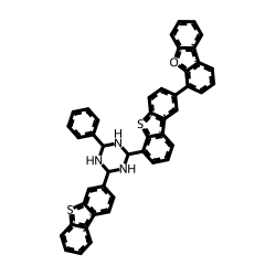 c1ccc(C2NC(c3ccc4c(c3)sc3ccccc34)NC(c3cccc4c3sc3ccc(-c5cccc6c5oc5ccccc56)cc34)N2)cc1